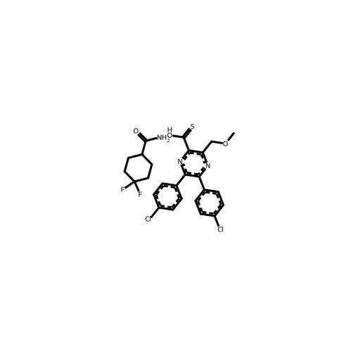 COCc1nc(-c2ccc(Cl)cc2)c(-c2ccc(Cl)cc2)nc1C(O)=S.NC(=O)C1CCC(F)(F)CC1